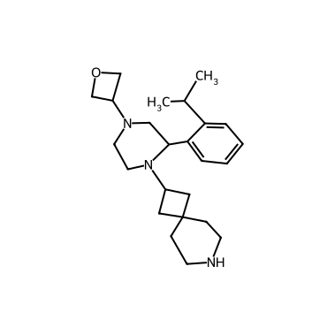 CC(C)c1ccccc1C1CN(C2COC2)CCN1C1CC2(CCNCC2)C1